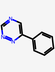 c1ccc(-c2cncnn2)cc1